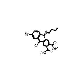 CCCCN=C1c2ccc(Br)cc2C(=O)c2cc(C(=O)O)c(C(=O)O)cc21